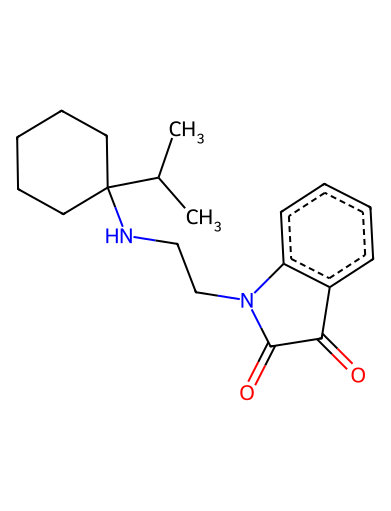 CC(C)C1(NCCN2C(=O)C(=O)c3ccccc32)CCCCC1